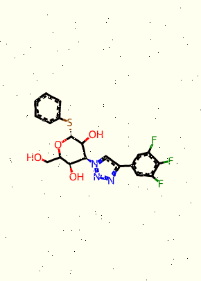 OCC1O[C@H](Sc2ccccc2)C(O)[C@@H](n2cc(-c3cc(F)c(F)c(F)c3)nn2)[C@H]1O